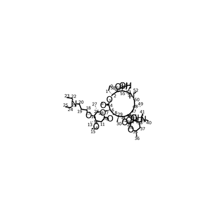 CC[C@H]1OC(=O)[C@H](C)[C@@H](O[C@H]2C[C@@](C)(OC)[C@@H](OCCCN(CC)CC)[C@H](C)O2)[C@H](C)[C@@H](O[C@@H]2O[C@H](C)C[C@H](N(C)C)[C@H]2O)[C@](C)(O)C[C@@H](C)CN(C)[C@H](C)[C@@H](O)[C@]1(C)O